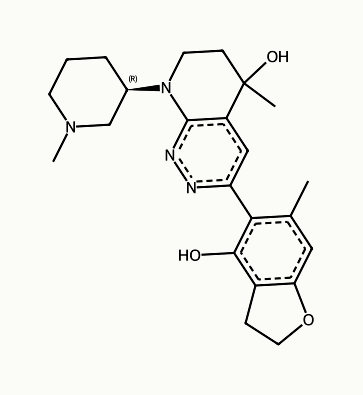 Cc1cc2c(c(O)c1-c1cc3c(nn1)N([C@@H]1CCCN(C)C1)CCC3(C)O)CCO2